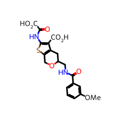 COc1cccc(C(=O)NCC2Cc3c(sc(NC(=O)C(=O)O)c3C(=O)O)CO2)c1